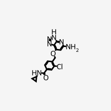 Nc1cc(OCc2ccc(C(=O)NC3CC3)cc2Cl)c2nn[nH]c2n1